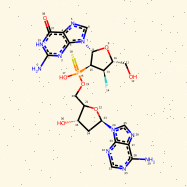 Nc1nc2c(ncn2[C@@H]2O[C@H](CO)[C@@H](F)[C@H]2P(O)(=S)OCC2O[C@@H](n3cnc4c(N)ncnc43)C[C@@H]2O)c(=O)[nH]1